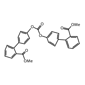 COC(=O)c1ccccc1-c1ccc(OC(=O)Oc2ccc(-c3ccccc3C(=O)OC)cc2)cc1